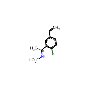 C=Cc1ccc(F)c([C@@H](C)NC(=O)O)c1